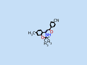 Cc1ccc2c(c1)OC(C)(C)N/C2=C\C(=O)c1ccc(C#N)cc1